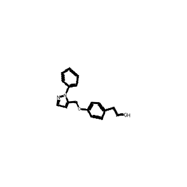 OCCc1ccc(OCc2ccnn2-c2ccccc2)cc1